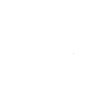 CC(C)(C)C1(C(C)(C)C)OCC(CN)O1